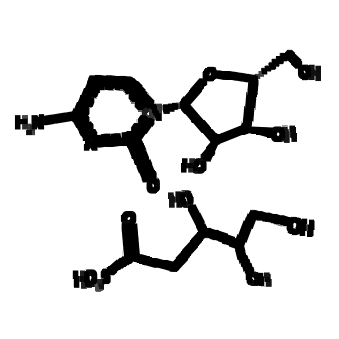 Nc1ccn([C@@H]2O[C@H](CO)[C@@H](O)[C@H]2O)c(=O)n1.O=C(CC(O)C(O)CO)S(=O)(=O)O